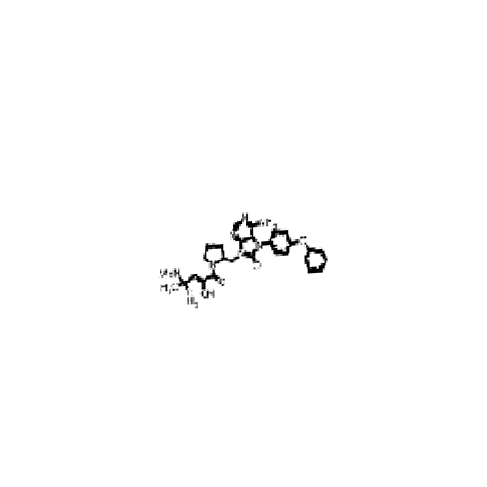 CNC(C)(C)C=C(C#N)C(=O)N1CCCC1Cn1c(=O)n(-c2ccc(Oc3ccccc3)cc2)c2c(N)ncnc21